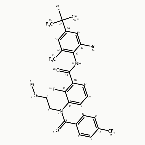 CCOCCN(C(=O)c1ccc(C(F)(F)F)cc1)c1cccc(C(=O)Nc2c(Br)cc(C(F)(C(F)(F)F)C(F)(F)F)cc2C(F)(F)F)c1F